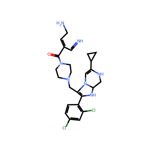 N=C/C(=C\CN)C(=O)N1CCN(CC2=C(c3ccc(Cl)cc3Cl)NC3CNC(C4CC4)=CN23)CC1